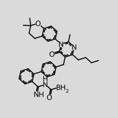 BC(=O)NC(=N)c1ccccc1-c1ccc(Cc2c(CCCC)nc(C)n(-c3ccc4c(c3)CCC(C)(C)O4)c2=O)cc1